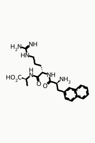 C[C@H](NC(=O)[C@H](CCCNC(=N)N)NC(=O)[C@@H](N)Cc1ccc2ccccc2c1)C(=O)O